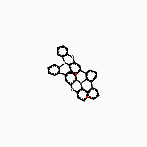 c1ccc(-c2cccc(-c3cc4c5c(c3)Oc3ccccc3B5c3ccccc3O4)c2B2c3ccccc3Oc3ccccc32)cc1